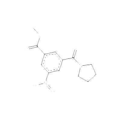 COC(=O)c1cc(C(=O)N2CCCC2)cc([N+](=O)[O-])c1